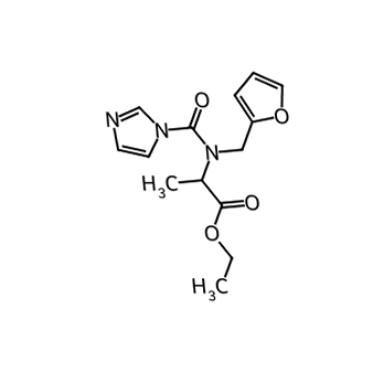 CCOC(=O)C(C)N(Cc1ccco1)C(=O)n1ccnc1